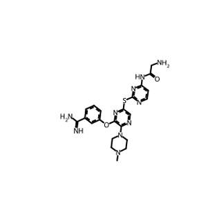 CN1CCN(c2ncc(Sc3nccc(NC(=O)CN)n3)nc2Oc2cccc(C(=N)N)c2)CC1